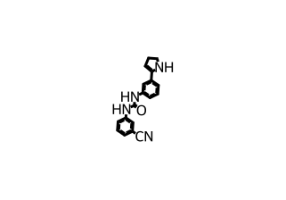 N#Cc1cccc(NC(=O)Nc2cccc(C3=CCCN3)c2)c1